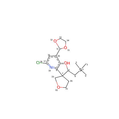 C[Si](C)(C)CC(O)C1(c2cc(C3OCCO3)cc(Cl)n2)CCOC1